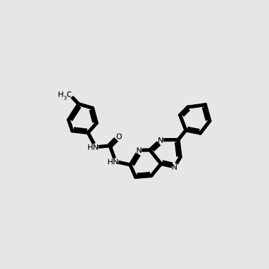 Cc1ccc(NC(=O)Nc2ccc3ncc(-c4ccccc4)nc3n2)cc1